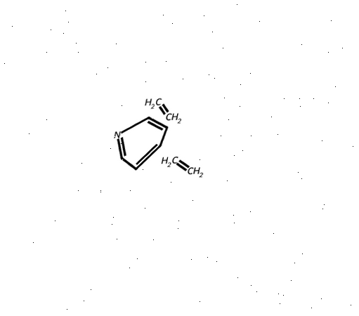 C=C.C=C.c1ccncc1